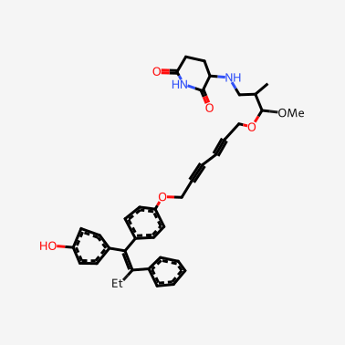 CC/C(=C(\c1ccc(O)cc1)c1ccc(OCC#CC#CCOC(OC)C(C)CNC2CCC(=O)NC2=O)cc1)c1ccccc1